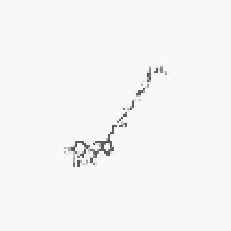 NCCOCCOCCOCCNCCCc1cccc2c1CN(C1CCC(=O)NC1=O)C2=O